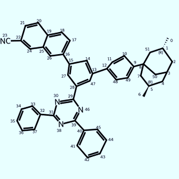 C[C@@H]1CC2C[C@@H](C)CC(c3ccc(-c4cc(-c5ccc6ccc(C#N)cc6c5)cc(-c5nc(-c6ccccc6)nc(-c6ccccc6)n5)c4)cc3)(C2)C1